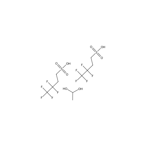 CC(O)O.O=S(=O)(O)CCC(F)(F)C(F)(F)F.O=S(=O)(O)CCC(F)(F)C(F)(F)F